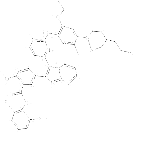 CCCC1CCN(c2cc(OCC)c(Nc3nccc(-c4c(-c5ccc(OC)c(C(=O)Nc6c(F)cccc6F)c5)nc5ccccn45)n3)cc2C)CC1